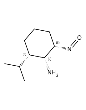 CC(C)[C@@H]1CCC[C@H](N=O)[C@@H]1N